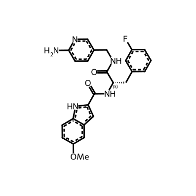 COc1ccc2[nH]c(C(=O)N[C@@H](Cc3cccc(F)c3)C(=O)NCc3ccc(N)nc3)cc2c1